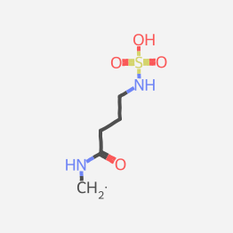 [CH2]NC(=O)CCCNS(=O)(=O)O